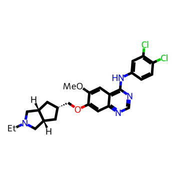 CCN1C[C@H]2C[C@@H](COc3cc4ncnc(Nc5ccc(Cl)c(Cl)c5)c4cc3OC)C[C@H]2C1